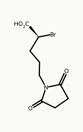 O=C(O)[C@@H](Br)CCCN1C(=O)CCC1=O